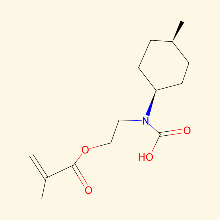 C=C(C)C(=O)OCCN(C(=O)O)[C@H]1CC[C@@H](C)CC1